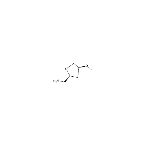 CO[C@@H]1CO[C@H](CN)C1